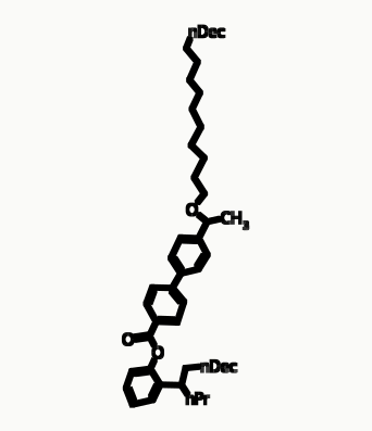 CCCCCCCCCCCCCCCCCCCCOC(C)c1ccc(-c2ccc(C(=O)Oc3ccccc3C(CCC)CCCCCCCCCCC)cc2)cc1